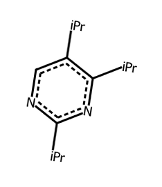 CC(C)c1ncc(C(C)C)c(C(C)C)n1